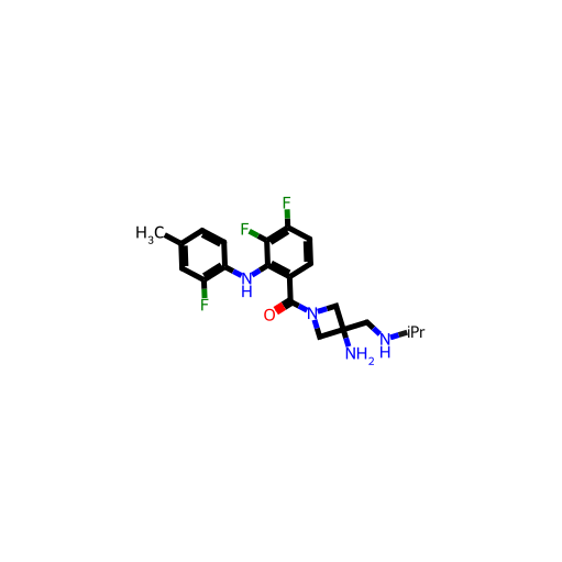 Cc1ccc(Nc2c(C(=O)N3CC(N)(CNC(C)C)C3)ccc(F)c2F)c(F)c1